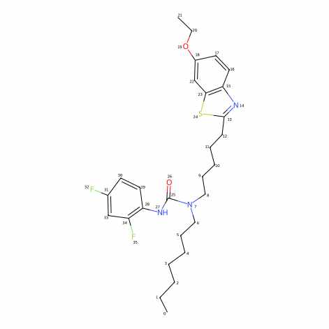 CCCCCCCN(CCCCCc1nc2ccc(OCC)cc2s1)C(=O)Nc1ccc(F)cc1F